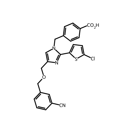 N#Cc1cccc(COCc2cn(Cc3ccc(C(=O)O)cc3)c(-c3ccc(Cl)s3)n2)c1